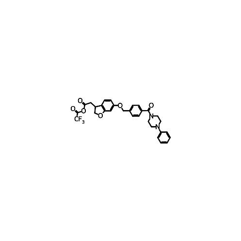 O=C(CC1COc2cc(OCc3ccc(C(=O)N4CCN(c5ccccc5)CC4)cc3)ccc21)OC(=O)C(F)(F)F